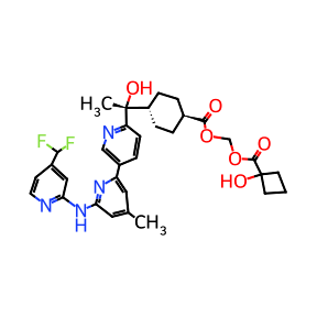 Cc1cc(Nc2cc(C(F)F)ccn2)nc(-c2ccc([C@](C)(O)[C@H]3CC[C@H](C(=O)OCOC(=O)C4(O)CCC4)CC3)nc2)c1